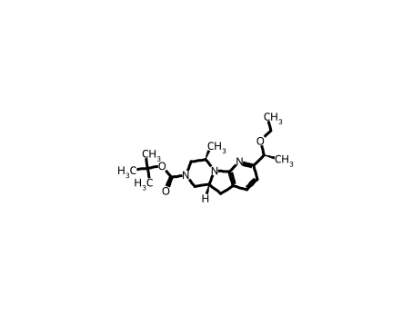 CCO[C@@H](C)c1ccc2c(n1)N1[C@H](C2)CN(C(=O)OC(C)(C)C)C[C@H]1C